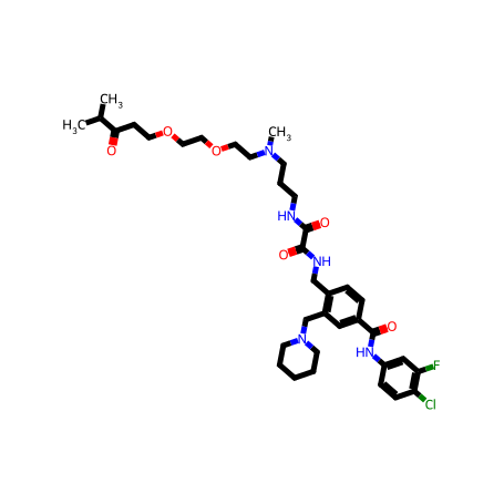 CC(C)C(=O)CCOCCOCCN(C)CCCNC(=O)C(=O)NCc1ccc(C(=O)Nc2ccc(Cl)c(F)c2)cc1CN1CCCCC1